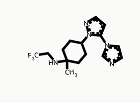 CC1(NCC(F)(F)F)CCC(n2nccc2-n2ccnc2)CC1